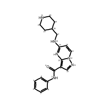 O=C(Nc1ccccc1)c1cnn2ccc(NCC3CCNCC3)nc12